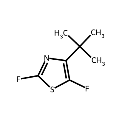 CC(C)(C)c1nc(F)sc1F